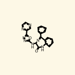 O=C1Nc2ccccc2C(c2ccccc2)=NC1Nc1nnc(-c2cnccn2)o1